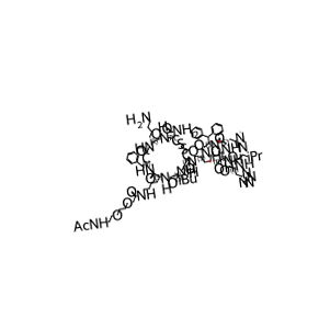 CC[C@H](C)[C@@H]1NC(=O)[C@@H](NC(=O)[C@@H]2CCCN2C(=O)[C@@H](NC(=O)[C@H](Cc2cncn2C)NC(=O)[C@@H](NC(=O)[C@H](CC2N=NN=N2)NC(=O)CC(C)C)[C@@H](C)O)C(c2ccccc2)c2ccccc2)CSSC[C@@H](C(N)=O)NC(=O)[C@@H](CCCCN)NC(=O)C[C@H](Cc2ccccc2)NC(=O)[C@H](CCCCNC(=O)COCCOCCNC(C)=O)NC1=O